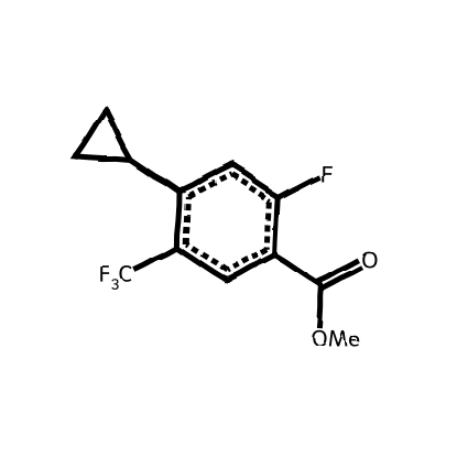 COC(=O)c1cc(C(F)(F)F)c(C2CC2)cc1F